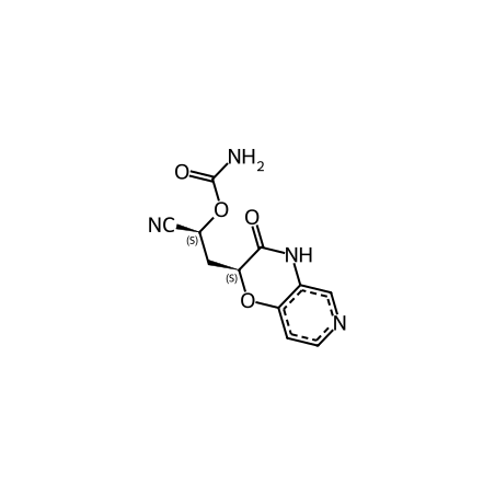 N#C[C@H](C[C@@H]1Oc2ccncc2NC1=O)OC(N)=O